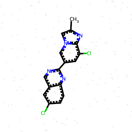 Cc1cn2cc(-c3ncc4cc(Cl)ccc4n3)cc(Cl)c2n1